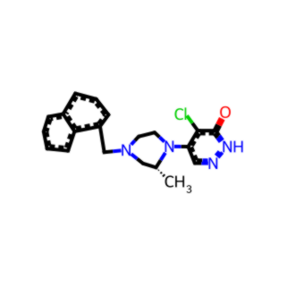 C[C@@H]1CN(Cc2cccc3ccccc23)CCN1c1cn[nH]c(=O)c1Cl